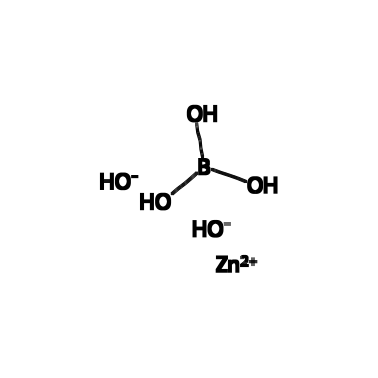 OB(O)O.[OH-].[OH-].[Zn+2]